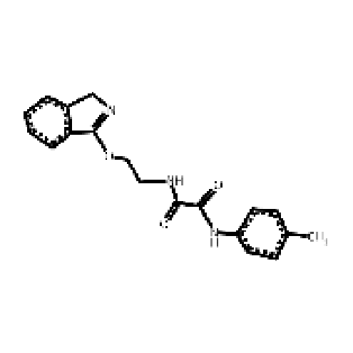 Cc1ccc(NC(=O)C(=O)NCCOC2=NCc3ccccc32)cc1